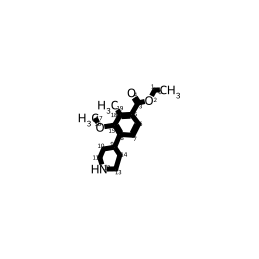 CCOC(=O)c1ccc(C2CCNCC2)c(OC)c1C